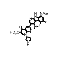 CNc1cc(F)c(F)c2c1[nH]c1ncc(-c3cnc4c(c3)c(=O)c(C(=O)O)cn4[C@@H]3CCNC3)c(N(C)C)c12